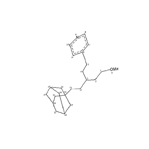 COCCC(C[CH]c1ccncc1)CCC12CC3CC(CC(C3)C1)C2